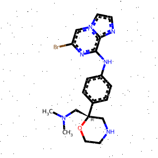 CN(C)C[C@@]1(c2ccc(Nc3nc(Br)cn4ccnc34)cc2)CNCCO1